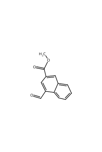 COC(=O)c1cc(C=O)c2ccccc2c1